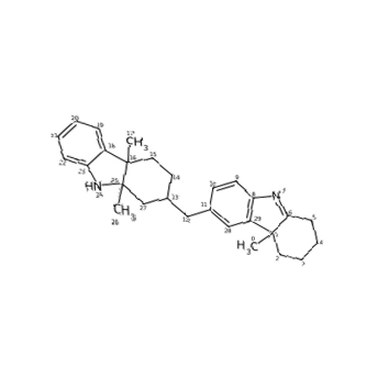 CC12CCCCC1=Nc1ccc(CC3CCC4(C)c5ccccc5NC4(C)C3)cc12